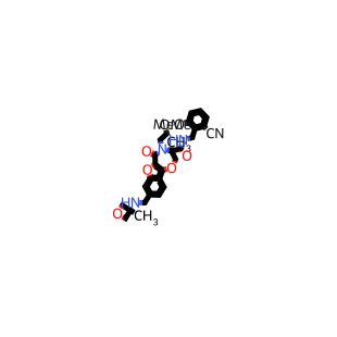 COCCN1C(=O)c2oc3cc(CNC4(C)COC4)ccc3c2OCC1(C)C(=O)NCc1c(C#N)cccc1OC